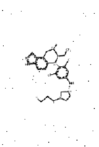 C[C@@H]1Cc2c(ccc3[nH]ncc23)[C@@H](c2c(Cl)cc(N[C@@H]3CCN(CCCF)C3)cc2Cl)N1CC(F)(F)F